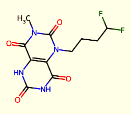 Cn1c(=O)c2[nH]c(=O)[nH]c(=O)c2n(CCCC(F)F)c1=O